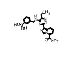 CCc1nnc(-c2ncn3c(C(N)=O)cccc23)nc1NCc1cccc(B(O)O)c1